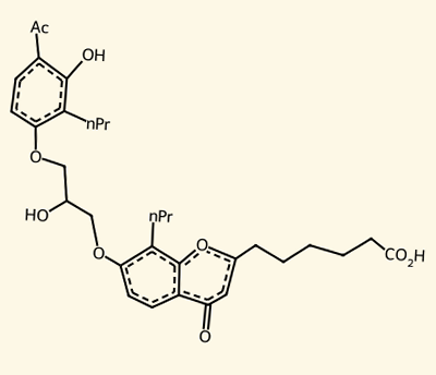 CCCc1c(OCC(O)COc2ccc3c(=O)cc(CCCCCC(=O)O)oc3c2CCC)ccc(C(C)=O)c1O